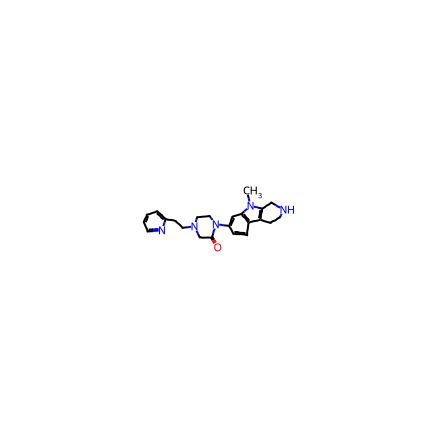 Cn1c2c(c3ccc(N4CCN(CCc5ccccn5)CC4=O)cc31)CCNC2